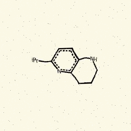 CC(C)c1ccc2c(n1)CCCN2